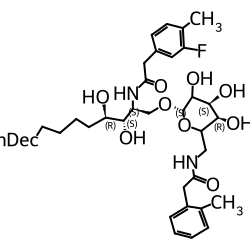 CCCCCCCCCCCCCC[C@@H](O)[C@@H](O)[C@H](CO[C@H]1OC(CNC(=O)Cc2ccccc2C)[C@H](O)[C@H](O)C1O)NC(=O)Cc1ccc(C)c(F)c1